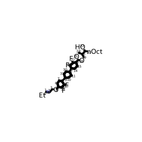 CC/C=C/COc1ccc(-c2ccc(-c3ccc(C4OCC(C(O)CCCCCCCC)CO4)c(F)c3F)cc2)c(F)c1F